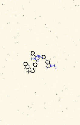 C/C=C\c1cc(-c2cccc(C/C=C(\NC(N)c3ccccc3)c3ccc(-c4cccc5c4-c4cc6ccccc6cc4C5(C)C)cc3)c2)ccc1N